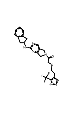 O=C(COCCc1nn[nH]c1C(F)(F)F)N1Cc2cnc(NC3Cc4ccccc4C3)nc2C1